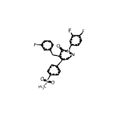 CS(=O)(=O)c1ccc(-c2cnn(-c3ccc(F)c(F)c3)c(=O)c2Cc2cccc(F)c2)cc1